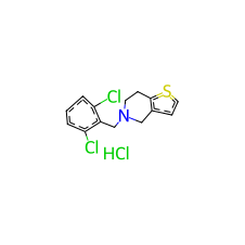 Cl.Clc1cccc(Cl)c1CN1CCc2sccc2C1